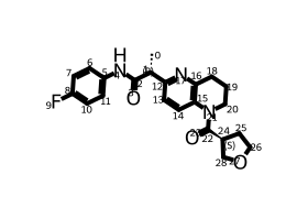 C[C@@H](C(=O)Nc1ccc(F)cc1)c1ccc2c(n1)CCCN2C(=O)[C@H]1CCOC1